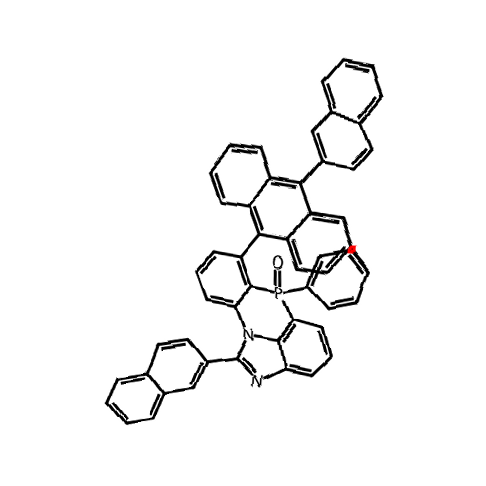 O=P1(c2ccccc2)c2c(-c3c4ccccc4c(-c4ccc5ccccc5c4)c4ccccc34)cccc2-n2c(-c3ccc4ccccc4c3)nc3cccc1c32